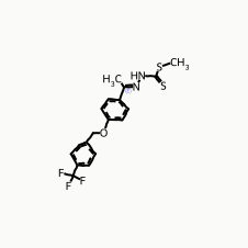 CSC(=S)N/N=C(\C)c1ccc(OCc2ccc(C(F)(F)F)cc2)cc1